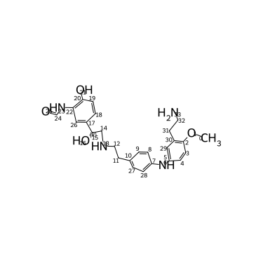 COc1ccc(Nc2ccc(CCNC[C@H](O)c3ccc(O)c(NC=O)c3)cc2)cc1CCN